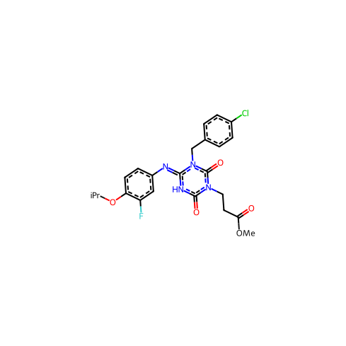 COC(=O)CCn1c(=O)[nH]/c(=N\c2ccc(OC(C)C)c(F)c2)n(Cc2ccc(Cl)cc2)c1=O